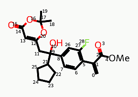 C=C(C(=O)OC)c1ccc(C(O)(CC2=CC(=O)OC(C)(C)O2)C2CCCC2)cc1F